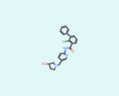 O=C(Nc1ccc(CN2CCC(O)C2)cn1)c1cccc(-c2ccccc2)c1Cl